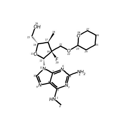 CNc1nc(N)nc2c1ncn2[C@@H]1O[C@H](CO)[C@@H](C)[C@]1(F)COC1CCCCO1